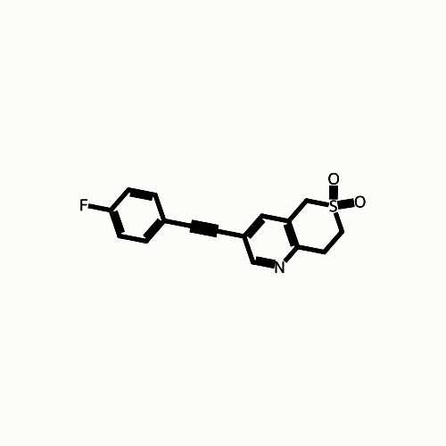 O=S1(=O)CCc2ncc(C#Cc3ccc(F)cc3)cc2C1